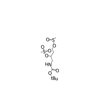 CS(=O)OCCC(CNC(=O)OC(C)(C)C)OS(C)(=O)=O